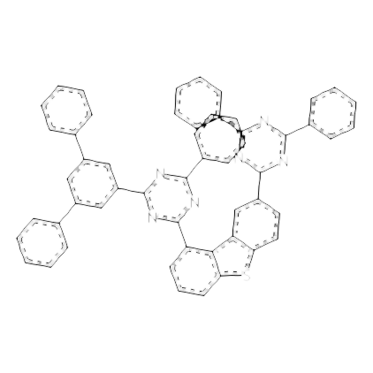 c1ccc(-c2cc(-c3ccccc3)cc(-c3nc(-c4ccccc4)nc(-c4cccc5sc6ccc(-c7nc(-c8ccccc8)nc(-c8ccccc8)n7)cc6c45)n3)c2)cc1